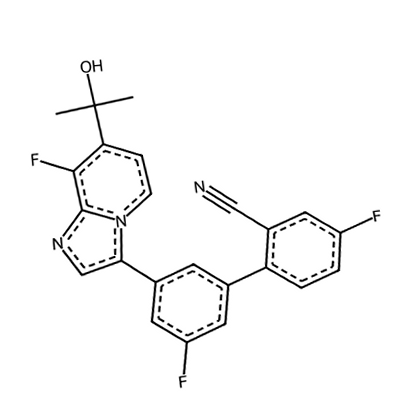 CC(C)(O)c1ccn2c(-c3cc(F)cc(-c4ccc(F)cc4C#N)c3)cnc2c1F